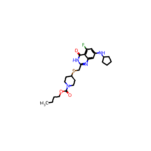 CCCCOC(=O)N1CCC(SCc2nc3cc(NC4CCCC4)cc(F)c3c(=O)[nH]2)CC1